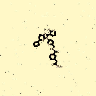 COC(=O)Cc1cccc(C(=O)NCc2ccc(-n3c(-c4cccnc4N)nc4ccc(-c5ccccc5)nc43)cn2)c1